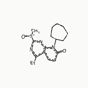 CCc1nc([S+](C)[O-])nc2c1ccc(=O)n2C1CCCCCC1